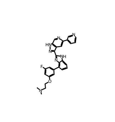 CN(C)CCOc1cc(F)cc(-c2cccc3[nH]c(-c4n[nH]c5cnc(-c6cccnc6)cc45)nc23)c1